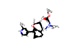 Cc1cc(-c2cccc3c2OCC[C@@H]3CN(C)C(=O)OC(C)(C)C)ccn1